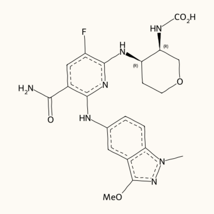 COc1nn(C)c2ccc(Nc3nc(N[C@@H]4CCOC[C@@H]4NC(=O)O)c(F)cc3C(N)=O)cc12